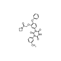 Cc1cccc(-n2c(=O)[nH]c(=O)n(-c3ccc(Oc4ccccc4)c(OCC(=O)N4CCC4)c3)c2=O)c1